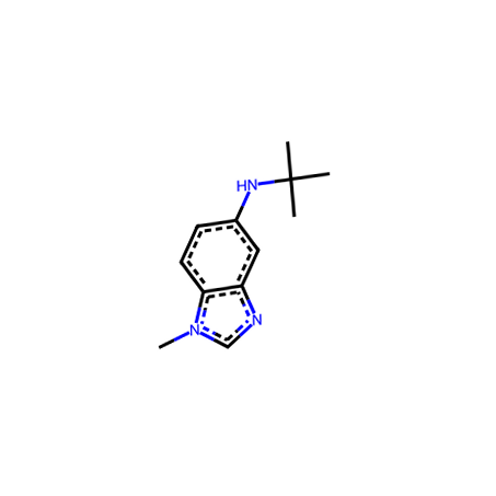 Cn1cnc2cc(NC(C)(C)C)ccc21